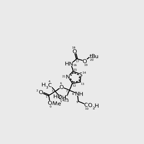 COC(=O)C(C)(C)OC(NCC(=O)O)(C(=O)O)c1csc(NC(=O)OC(C)(C)C)n1